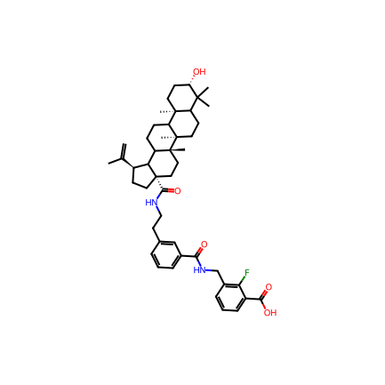 C=C(C)[C@@H]1CC[C@]2(C(=O)NCCc3cccc(C(=O)NCc4cccc(C(=O)O)c4F)c3)CC[C@]3(C)C(CCC4[C@@]5(C)CC[C@H](O)C(C)(C)C5CC[C@]43C)C12